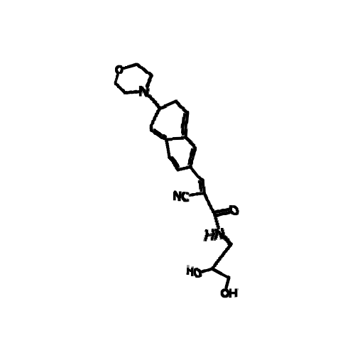 N#C/C(=C\c1ccc2c(c1)=CCC(N1CCOCC1)C=2)C(=O)NCC(O)CO